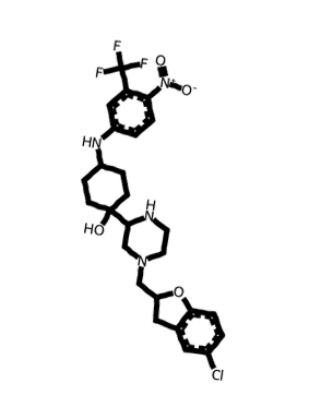 O=[N+]([O-])c1ccc(NC2CCC(O)(C3CN(CC4Cc5cc(Cl)ccc5O4)CCN3)CC2)cc1C(F)(F)F